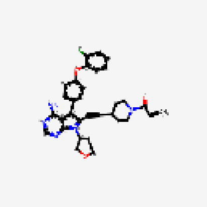 C=CC(=O)N1CCC(C#Cc2c(-c3ccc(Oc4ccccc4F)cc3)c3c(N)ncnc3n2C2CCOC2)CC1